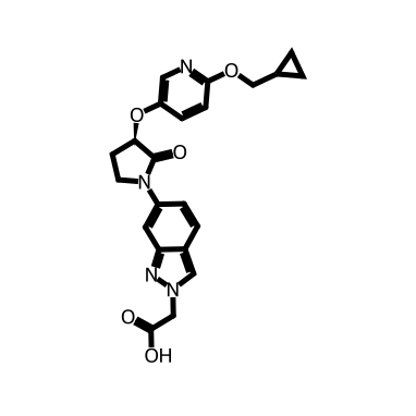 O=C(O)Cn1cc2ccc(N3CC[C@@H](Oc4ccc(OCC5CC5)nc4)C3=O)cc2n1